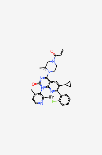 C=CC(=O)N1CCN(c2nc(=O)n(-c3c(C)ccnc3C(C)C)c3nc(-c4ccccc4F)c(C4CC4)cc23)[C@@H](C)C1